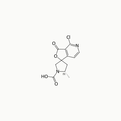 C[C@H]1CC2(CN1C(=O)O)OC(=O)c1c2ccnc1Cl